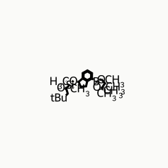 CC(C)(C)CC(=O)[Si](C)(C)OC1CCc2c(B3OC(C)(C)C(C)(C)O3)cccc21